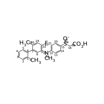 Cc1ccccc1-c1cc(N(C)c2ccc([S+]([O-])CC(=O)O)cc2)c(F)cc1C